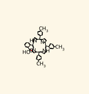 Cc1ccc(-c2c3nc(c(-c4ccc(C)cc4)c4ccc([nH]4)c(-c4ccccc4C(=O)O)c4nc(c(-c5ccc(C)cc5)c5ccc2[nH]5)C=C4)C=C3)cc1